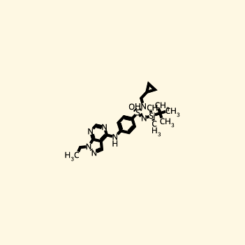 CCn1ncc2c(Nc3ccc(S(=O)(=N[Si](C)(C)C(C)(C)C)NCC4CC4)cc3)ncnc21